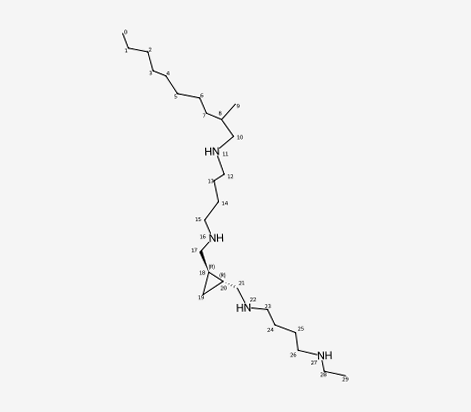 CCCCCCCCC(C)CNCCCCNC[C@@H]1C[C@H]1CNCCCCNCC